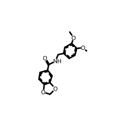 COc1ccc(CNC(=O)c2ccc3c(c2)OCO3)cc1OC